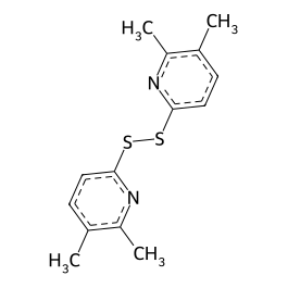 Cc1ccc(SSc2ccc(C)c(C)n2)nc1C